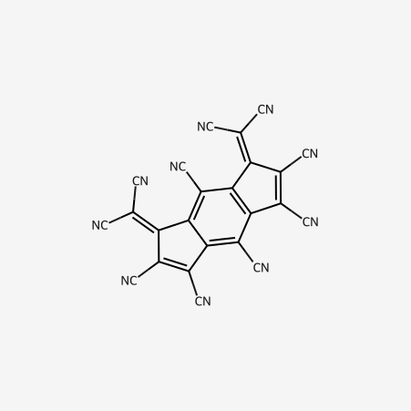 N#CC(C#N)=C1C(C#N)=C(C#N)c2c(C#N)c3c(c(C#N)c21)C(=C(C#N)C#N)C(C#N)=C3C#N